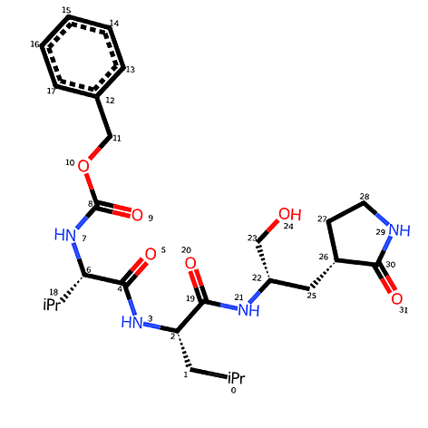 CC(C)C[C@H](NC(=O)[C@@H](NC(=O)OCc1ccccc1)C(C)C)C(=O)N[C@H](CO)C[C@@H]1CCNC1=O